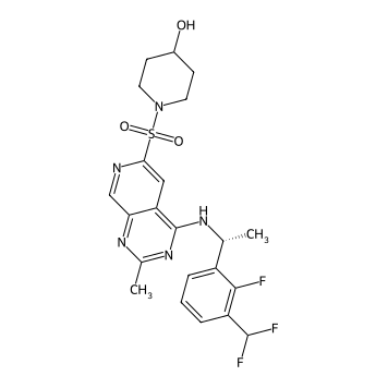 Cc1nc(N[C@H](C)c2cccc(C(F)F)c2F)c2cc(S(=O)(=O)N3CCC(O)CC3)ncc2n1